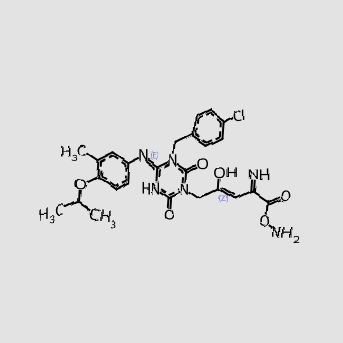 Cc1cc(/N=c2\[nH]c(=O)n(C/C(O)=C/C(=N)C(=O)ON)c(=O)n2Cc2ccc(Cl)cc2)ccc1OC(C)C